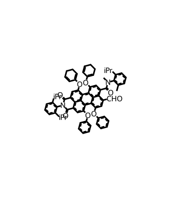 Cc1cccc(C(C)C)c1N(C)C(=O)c1cc(OC2=CCCC=C2)c2c3c(OC4=CCCC=C4)cc4c5c(cc(Oc6ccccc6)c(c6c(Oc7ccccc7)cc(C=O)c1c26)c53)C(=O)N(c1c(C(C)C)cccc1C(C)C)C4=O